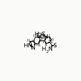 Cc1ccc(C(N)=S)cc1C1=Cc2n[nH]cc2CC1(C)C